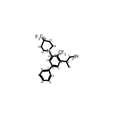 CC(C)CC(C)c1cc(-c2ccccc2)cc(N2CCC(C(F)(F)F)CC2)c1C(F)(F)F